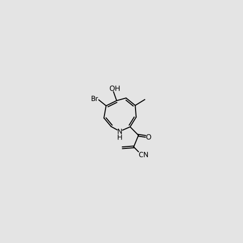 C=C(C#N)C(=O)c1cc(C)cc(O)c(Br)cc[nH]1